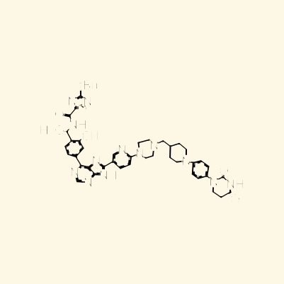 Cc1cc(-c2ncnc3[nH]c(-c4ccc(N5CCN(CC6CCN(c7ccc(N8CCC(=O)NC8=O)cc7)CC6)CC5)nc4)nc23)ccc1[C@@H](C)NC(=O)c1nc(C(C)(C)C)no1